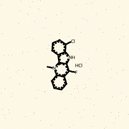 C[n+]1c2ccccc2c(F)c2[nH]c3c(Cl)cccc3c21.Cl